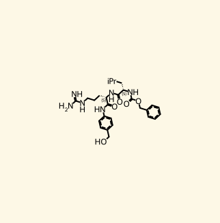 CC(C)C[C@H](NC(=O)OCc1ccccc1)C(=O)N[C@@H](CCCNC(=N)N)C(=O)Nc1ccc(CO)cc1